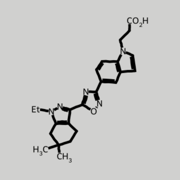 CCn1nc(-c2nc(-c3ccc4c(ccn4CCC(=O)O)c3)no2)c2c1CC(C)(C)CC2